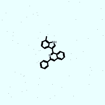 Cc1cccc2c(-c3nc(-c4ccccc4)cc4ccccc34)c[nH]c12